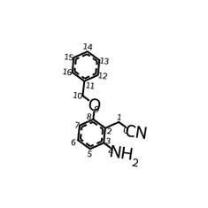 N#CCc1c(N)cccc1OCc1ccccc1